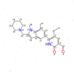 CCc1cc(C=O)c(=O)[nH]c1-c1cc(C)c2c(c1)cc(CN1CCCCC1)n2C